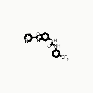 O=C(Nc1cccc(C(F)(F)F)c1)Nc1ccc2oc(-c3cccnc3)nc2c1